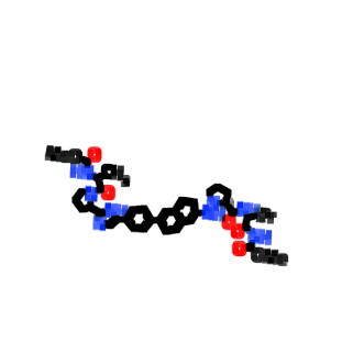 COC(=O)NC(=O)C(NC(=O)[C@@H]1CCCN1Nc1ccc2cc(-c3ccc(-c4cnc(C5CCCN5C(=O)C(C)NC(=O)OC)[nH]4)cc3)ccc2c1)C(C)C